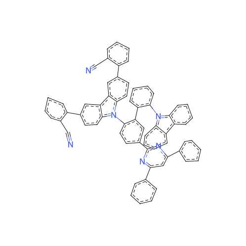 N#Cc1ccccc1-c1ccc2c(c1)c1cc(-c3ccccc3C#N)ccc1n2-c1ccc(-c2nc(-c3ccccc3)cc(-c3ccccc3)n2)cc1-c1ccccc1-n1c2ccccc2c2ccccc21